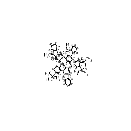 CC(C)(C)c1ccc(N2B3c4cc5oc6ccccc6c5cc4-n4c5cc6c(cc5c5c7c(c(c3c54)-c3cc4c(cc32)C(C)(C)c2ccccc2-4)C(C)(C)c2ccccc2-7)C(C)(C)CCC6(C)C)cc1